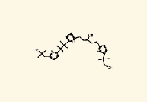 CC(C)(O)Cc1ccc(C(C)(C)C(C)(C)c2ccc(CCC(O)CCc3ccc(C(C)(C)CO)o3)o2)o1